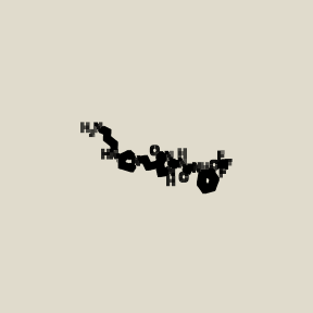 NCCCN[C@@H]1CCN(CCc2c[nH]c(NC(=O)Nc3ccccc3OC(F)(F)F)nc2=O)C1